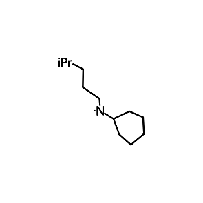 CC(C)CCC[N]C1CCCCC1